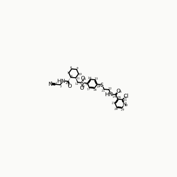 N#CCNC(=O)[C@@H]1CCCC[C@H]1CS(=O)(=O)c1ccc(SCCNC(=O)c2cccnc2Cl)cc1